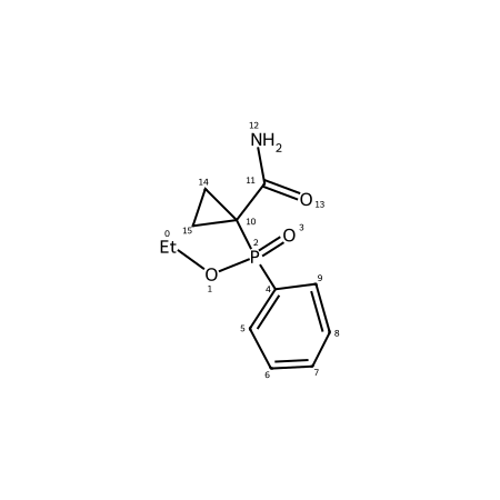 CCOP(=O)(c1ccccc1)C1(C(N)=O)CC1